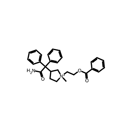 C[N+]1(CCOC(=O)c2ccccc2)CCC(C(C(N)=O)(c2ccccc2)c2ccccc2)C1